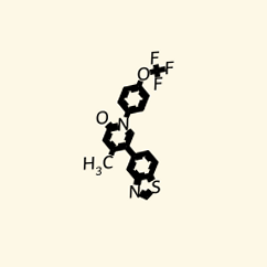 Cc1cc(=O)n(-c2ccc(OC(F)(F)F)cc2)cc1-c1ccc2scnc2c1